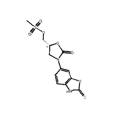 CS(=O)(=O)OC[C@H]1CN(c2ccc3[nH]c(=O)oc3c2)C(=O)O1